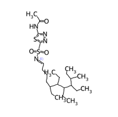 CCC(C)C(CC)C(CC)C(CC)C(CC)CCC/C=N/S(=O)(=O)c1nnc(NC(C)=O)s1